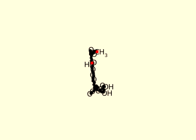 C/C=C\C(=O)N(C=O)CCCCCC(=O)NCCOCCOCCOCCCc1ccc(OC2CC(O)CC(C(=O)O)O2)c(COC=O)c1